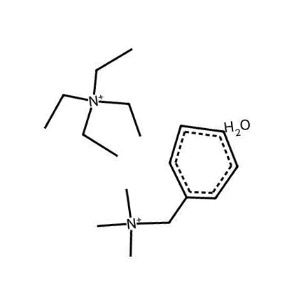 CC[N+](CC)(CC)CC.C[N+](C)(C)Cc1ccccc1.O